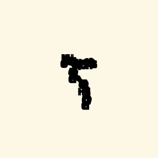 NC(=O)N1CCc2c(c(-c3ccc(Cl)c(C#Cc4ccc(CNCC5=CCC(Cl)C=C5)cc4)c3)nn2C[C@@H](O)CN2CCSCC2)C1